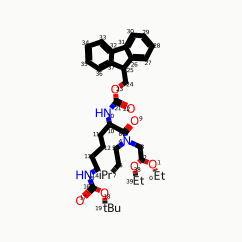 CCOC(CN(CCC(C)C)C(=O)C(CCCCNC(=O)OC(C)(C)C)NC(=O)OCC1c2ccccc2-c2ccccc21)OCC